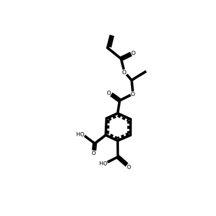 C=CC(=O)OC(C)OC(=O)c1ccc(C(=O)O)c(C(=O)O)c1